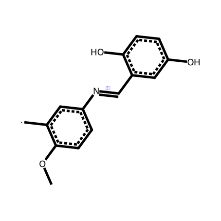 [CH2]c1cc(/N=C/c2cc(O)ccc2O)ccc1OC